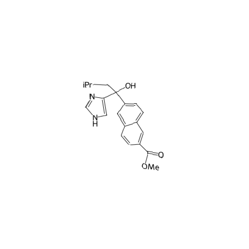 COC(=O)c1ccc2cc(C(O)(CC(C)C)c3c[nH]cn3)ccc2c1